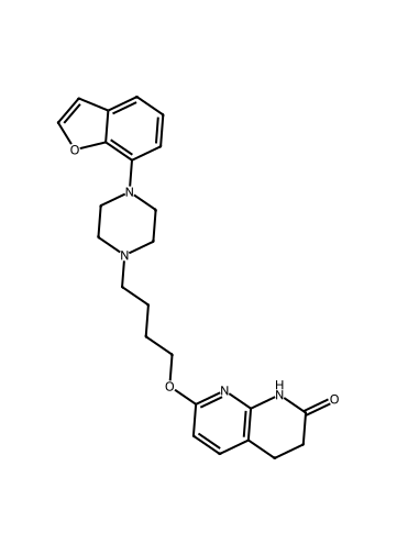 O=C1CCc2ccc(OCCCCN3CCN(c4cccc5ccoc45)CC3)nc2N1